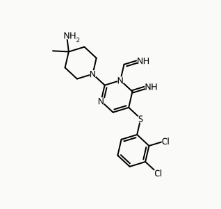 CC1(N)CCN(c2ncc(Sc3cccc(Cl)c3Cl)c(=N)n2C=N)CC1